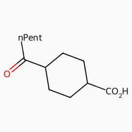 CCCCCC(=O)C1CCC(C(=O)O)CC1